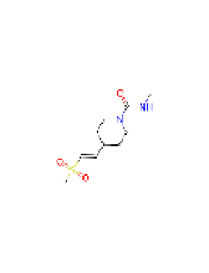 CNC(=O)N1CCC(/C=C/S(C)(=O)=O)CC1